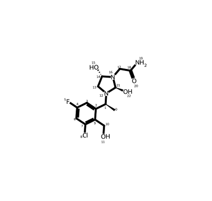 C[C@@H](c1cc(F)cc(Cl)c1CO)N1C[C@H](O)N(CC(N)=O)[C@H]1O